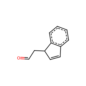 O=CCC1C=Cc2ccccc21